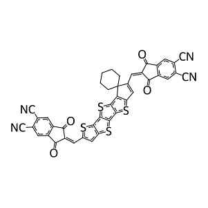 N#Cc1cc2c(cc1C#N)C(=O)C(=CC1=Cc3sc4c(sc5c6sc(C=C7C(=O)c8cc(C#N)c(C#N)cc8C7=O)cc6sc45)c3C13CCCCC3)C2=O